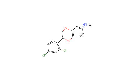 CNc1ccc2c(c1)OCC(c1ccc(Cl)cc1Cl)O2